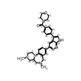 CN1CCN2c3ccc(-c4cc5c(-c6ccc(C(=O)N7CCOCC7)cc6)c[nH]c5nn4)cc3CN(C)CC2C1